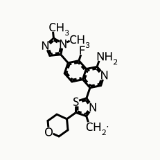 [CH2]c1nc(-c2cnc(N)c3c(F)c(-c4cnc(C)n4C)ccc23)sc1C1CCOCC1